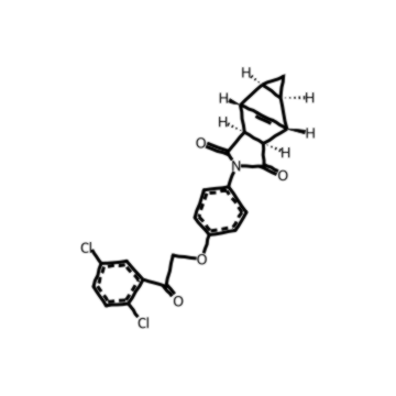 O=C(COc1ccc(N2C(=O)[C@@H]3[C@@H]4C=C[C@@H]([C@H]5C[C@@H]45)[C@@H]3C2=O)cc1)c1cc(Cl)ccc1Cl